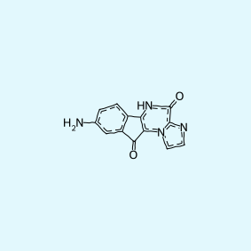 Nc1ccc2c(c1)C(=O)c1c-2[nH]c(=O)c2nccn12